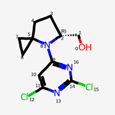 OC[C@H]1CCC2(CC2)N1c1cc(Cl)nc(Cl)n1